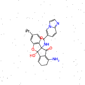 CC(C)c1ccc2c(c1)OC1(O)C3=CCCC(N)=C3C(=O)C21NC(=O)c1ccc2nccn2c1